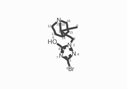 CC1(Cn2nc(Br)nc2O)CN2CCC1CC2